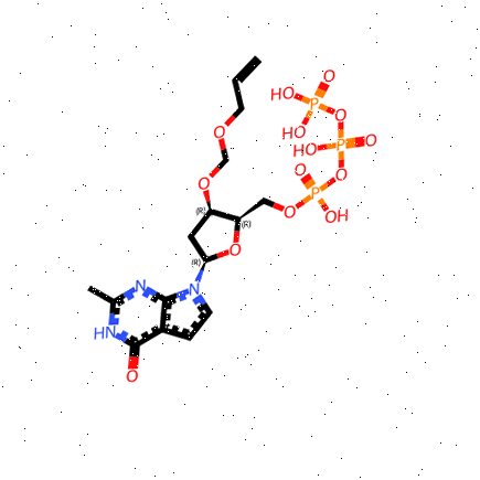 C=CCOCO[C@@H]1C[C@H](n2ccc3c(=O)[nH]c(C)nc32)O[C@@H]1COP(=O)(O)OP(=O)(O)OP(=O)(O)O